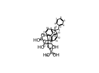 CC1(Cc2ccccc2)c2ccc(cc2)C(OP(O)O)(C(CO)(CO)COP(O)O)c2ccc1cc2